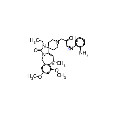 C=C(/C=N\c1ccccc1N)CN1CCC2(CC1)C1=C[C@H](C)c3c(cc(OC)cc3OC)CN1C(=O)N2CC